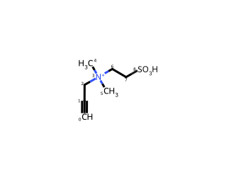 C#CC[N+](C)(C)CCS(=O)(=O)O